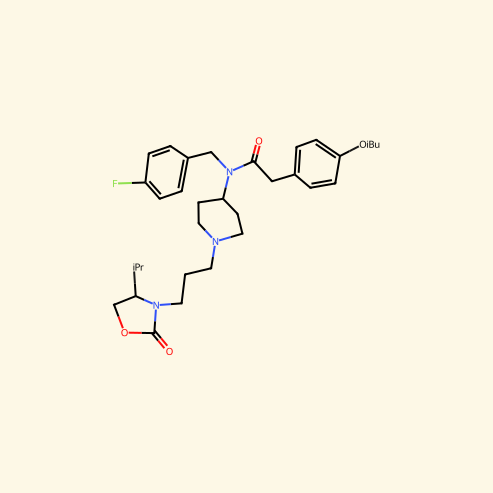 CC(C)COc1ccc(CC(=O)N(Cc2ccc(F)cc2)C2CCN(CCCN3C(=O)OCC3C(C)C)CC2)cc1